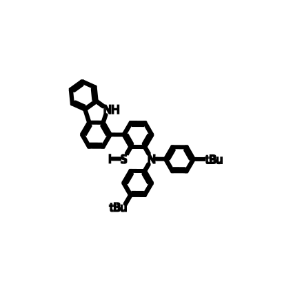 CC(C)(C)c1ccc(N(c2ccc(C(C)(C)C)cc2)c2cccc(-c3cccc4c3[nH]c3ccccc34)c2SI)cc1